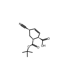 CC(C)(C)OC(=O)N1C[C@@H](C#N)C=C[C@H]1C(=O)O